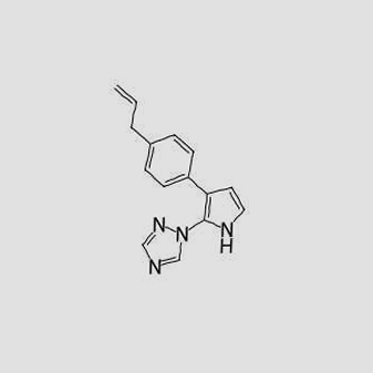 C=CCc1ccc(-c2cc[nH]c2-n2cncn2)cc1